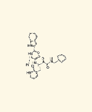 CC(C)C[C@H](NC(=O)c1cc2ccccc2[nH]1)C(=O)N[C@@H](Cc1ccc[nH]c1=O)C(=O)C(=O)NCc1ccccc1